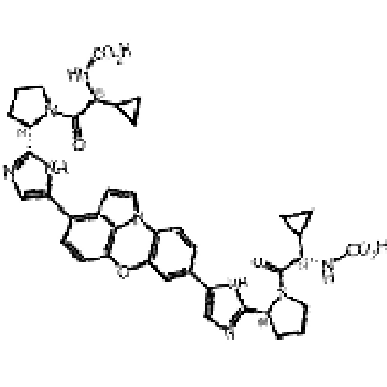 O=C(O)N[C@H](C(=O)N1CCC[C@H]1c1ncc(-c2ccc3c(c2)Oc2ccc(-c4cnc([C@@H]5CCCN5C(=O)[C@@H](NC(=O)O)C5CC5)[nH]4)c4ccn-3c24)[nH]1)C1CC1